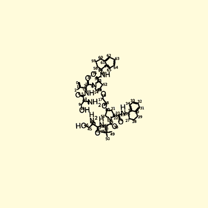 C=C(C)[C@H](NC(=O)[C@@H](N)CO)C(=O)N1C[C@@H](OCCO[C@H]2C[C@@H](C(=O)NC3CCCc4ccccc43)N(C(=O)[C@@H](NC(=O)[C@@H](N)CO)C(C)(C)C)C2)C[C@H]1C(=O)N[C@@H]1CCCc2ccccc21